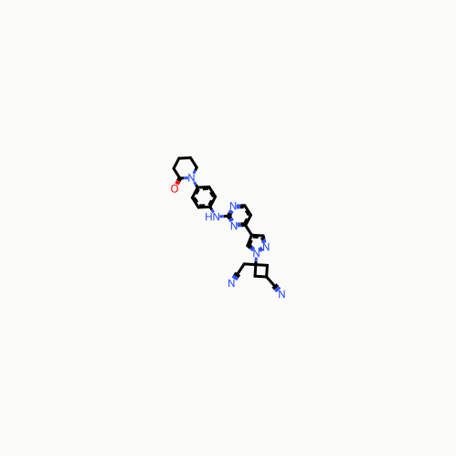 N#CCC1(n2cc(-c3ccnc(Nc4ccc(N5CCCCC5=O)cc4)n3)cn2)CC(C#N)C1